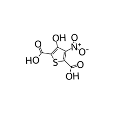 O=C(O)c1sc(C(=O)O)c([N+](=O)[O-])c1O